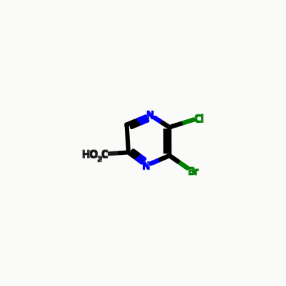 O=C(O)c1cnc(Cl)c(Br)n1